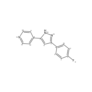 Fc1ccc(-c2cc(-c3ccncc3)[nH]n2)cc1